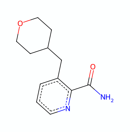 NC(=O)c1ncccc1CC1CCOCC1